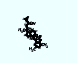 C[C@@H]1CC2=C(CS(=O)(=O)C2/C=C2\CCC[C@]3(C)C([C@H](C)/C=C/[C@@H](O)C4CC4)CC[C@@H]23)[C@@H](C)C1